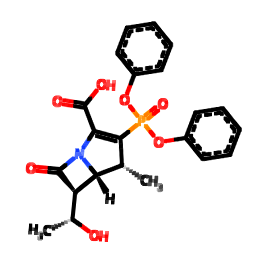 C[C@@H](O)[C@H]1C(=O)N2C(C(=O)O)=C(P(=O)(Oc3ccccc3)Oc3ccccc3)[C@H](C)[C@H]12